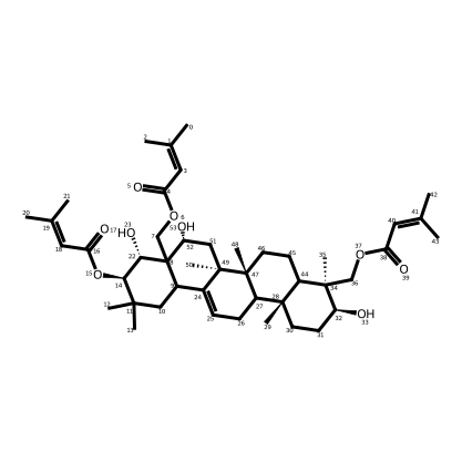 CC(C)=CC(=O)OCC12C(CC(C)(C)[C@@H](OC(=O)C=C(C)C)[C@@H]1O)C1=CCC3[C@@]4(C)CC[C@H](O)[C@](C)(COC(=O)C=C(C)C)C4CC[C@@]3(C)[C@]1(C)C[C@H]2O